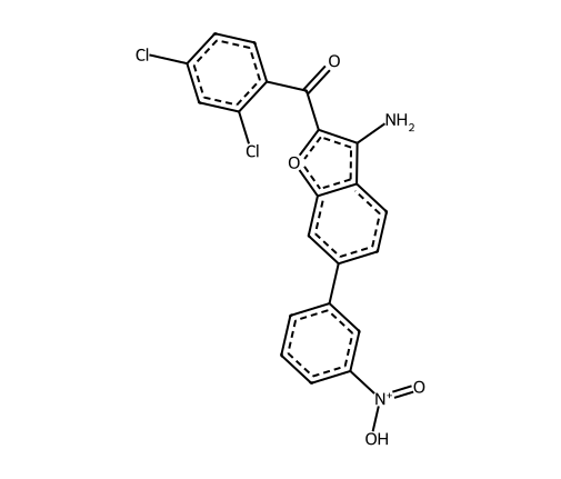 Nc1c(C(=O)c2ccc(Cl)cc2Cl)oc2cc(-c3cccc([N+](=O)O)c3)ccc12